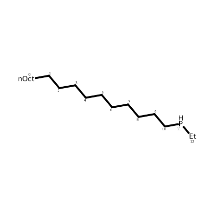 CCCCCCCCCCCCCCCCCCPCC